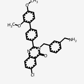 COc1ccc(-c2ccc(-c3nc4ccc(Cl)cc4c(=O)n3Cc3cccc(CN)c3)cc2)c(OC)c1